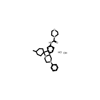 CC1CCC(c2cccc(NC(=O)N3CCOCC3)c2)(N2CCN(c3ccccc3)CC2)CC1.Cl.Cl